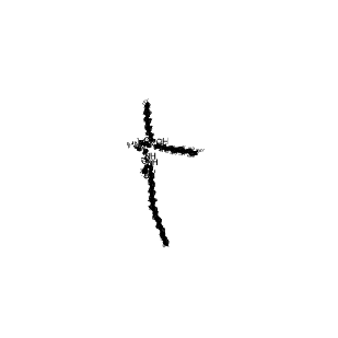 CCCCCCCCCCCCCCCCCCC(CC(C)O)NC(=O)NCCN1CCNCC1CCN(CC(O)CCCCCCCCCC)CC(O)CCCCCCCCCC